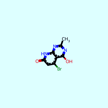 Cc1nc(O)c2c(Br)cc(=O)[nH]c2n1